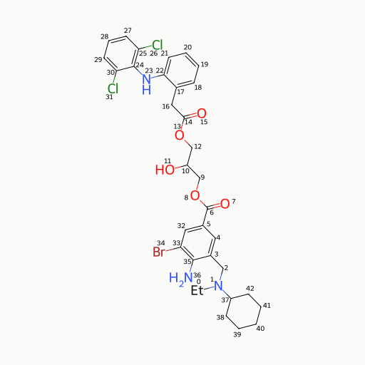 CCN(Cc1cc(C(=O)OCC(O)COC(=O)Cc2ccccc2Nc2c(Cl)cccc2Cl)cc(Br)c1N)C1CCCCC1